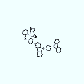 c1ccc2c(c1)Sc1ccc(-c3ccc4c(c3)c3ccccc3n4-c3ccc(-n4c5ccccc5c5ccccc54)cc3)cc1C21c2cccnc2-c2ncccc21